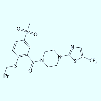 CC(C)CSc1ccc(S(C)(=O)=O)cc1C(=O)N1CCN(c2ncc(C(F)(F)F)s2)CC1